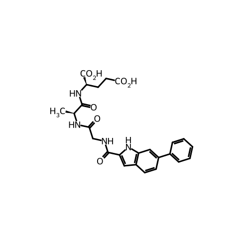 C[C@H](NC(=O)CNC(=O)c1cc2ccc(-c3ccccc3)cc2[nH]1)C(=O)N[C@H](CCC(=O)O)C(=O)O